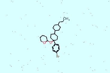 CCCC1CCC(C2CCC(OC3CCCCO3)(c3ccc(Br)cc3)CC2)CC1